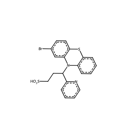 O=S(=O)(O)CCC(c1ccccn1)N1c2ccccc2Sc2ccc(Br)cc21